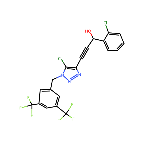 OC(C#Cc1nnn(Cc2cc(C(F)(F)F)cc(C(F)(F)F)c2)c1Cl)c1ccccc1Cl